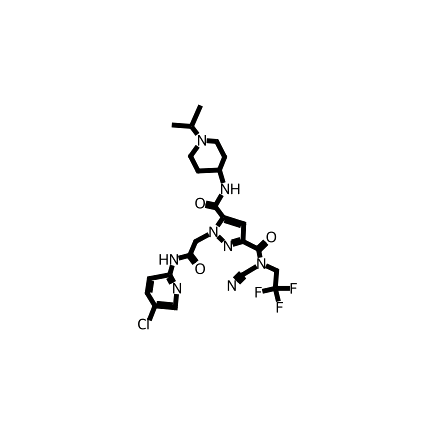 CC(C)N1CCC(NC(=O)c2cc(C(=O)N(C#N)CC(F)(F)F)nn2CC(=O)Nc2ccc(Cl)cn2)CC1